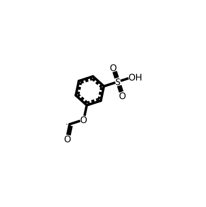 O=[C]Oc1cccc(S(=O)(=O)O)c1